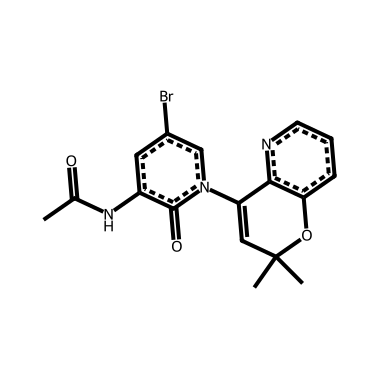 CC(=O)Nc1cc(Br)cn(C2=CC(C)(C)Oc3cccnc32)c1=O